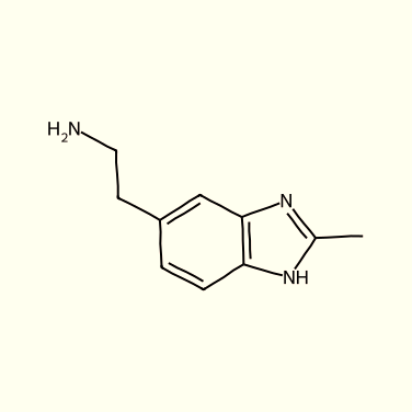 Cc1nc2cc(CCN)ccc2[nH]1